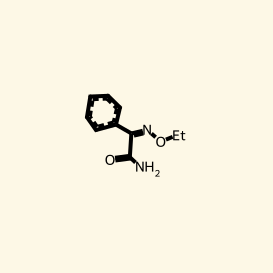 CCON=C(C(N)=O)c1ccccc1